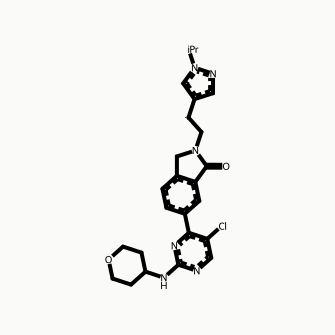 CC(C)n1cc([CH]CN2Cc3ccc(-c4nc(NC5CCOCC5)ncc4Cl)cc3C2=O)cn1